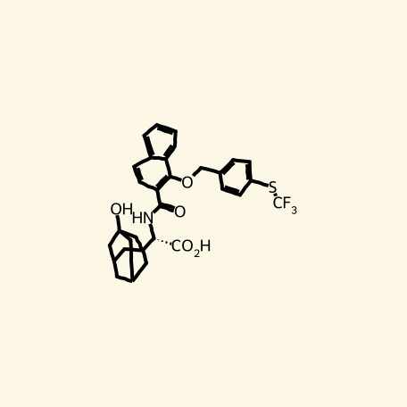 O=C(N[C@H](C(=O)O)C12CC3CC(CC(O)(C3)C1)C2)c1ccc2ccccc2c1OCc1ccc(SC(F)(F)F)cc1